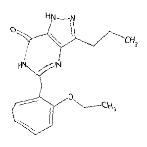 CCCc1n[nH]c2c(=O)[nH]c(-c3ccccc3OCC)nc12